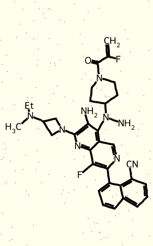 C=C(F)C(=O)N1CCC(N(N)c2c(N)c(N3CC(N(C)CC)C3)nc3c(F)c(-c4cccc5cccc(C#N)c45)ncc23)CC1